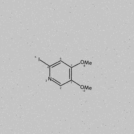 COc1cnc(I)cc1OC